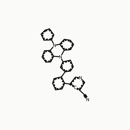 N#Cc1cncc(-c2ccccc2-c2cccc(N3c4ccccc4N(c4ccccc4)c4ccccc43)c2)c1